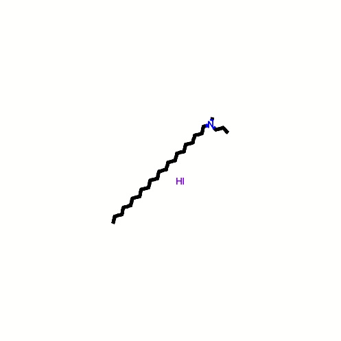 CCCCCCCCCCCCCCCCCCCCCCN(C)CCC.I